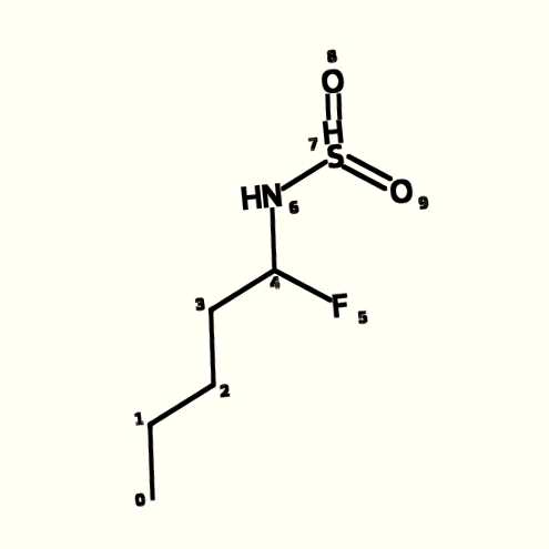 CCCCC(F)N[SH](=O)=O